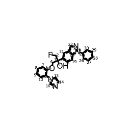 OC(CF)(COc1ccccc1-n1ccnc1)c1ccc2c(cnn2-c2ccccc2)c1